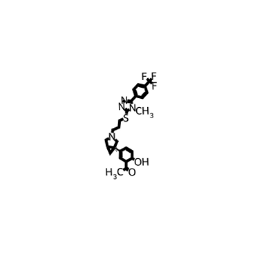 CC(=O)C1C=C([C@@]23CC2CN(CCCSc2nnc(-c4ccc(C(F)(F)F)cc4)n2C)C3)C=CC1O